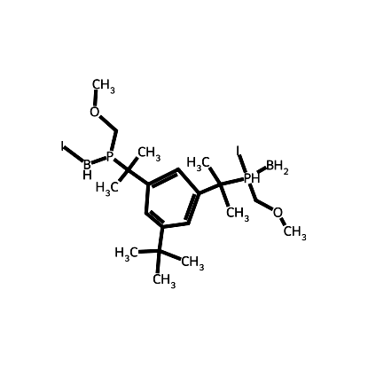 B[PH](I)(COC)C(C)(C)c1cc(C(C)(C)C)cc(C(C)(C)P(BI)COC)c1